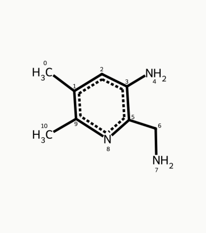 Cc1cc(N)c(CN)nc1C